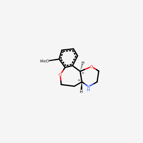 COc1cccc2c1OCC[C@H]1NCCO[C@H]21